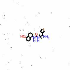 CC(C)(NC(=O)NC1CCCc2c(O)cccc21)C(N)c1ccsc1